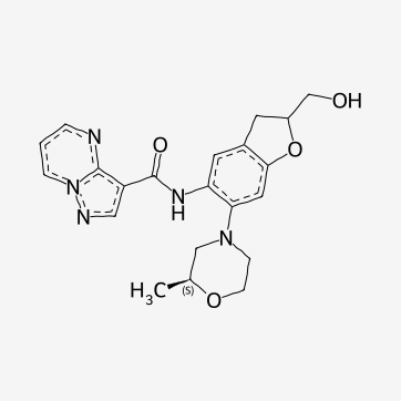 C[C@H]1CN(c2cc3c(cc2NC(=O)c2cnn4cccnc24)CC(CO)O3)CCO1